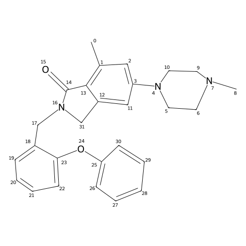 Cc1cc(N2CCN(C)CC2)cc2c1C(=O)N(Cc1ccccc1Oc1ccccc1)C2